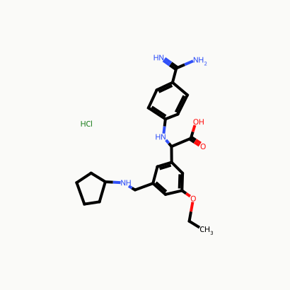 CCOc1cc(CNC2CCCC2)cc(C(Nc2ccc(C(=N)N)cc2)C(=O)O)c1.Cl